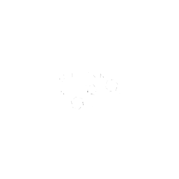 CN(C(=O)c1cc2c(s1)-c1cc(CN3CC[C@@H](O)C3)ccc1OC2)c1ccc(F)cc1F